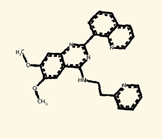 COc1cc2nc(-c3cccc4cccnc34)nc(NCCc3ccccn3)c2cc1OC